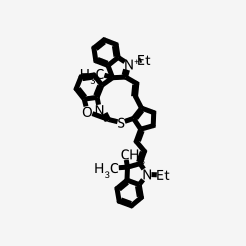 CCN1/C(=C/C=C2\CCC3=C2Sc2nc4c(cccc4o2)C2(C)C(=[N+](CC)c4ccccc42)/C=C/3)C(C)(C)c2ccccc21